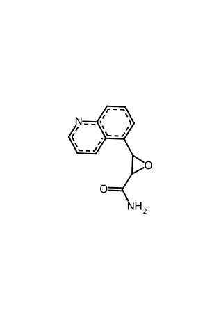 NC(=O)C1OC1c1cccc2ncccc12